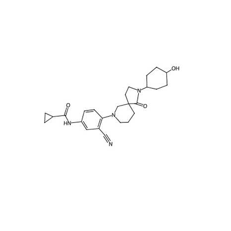 N#Cc1cc(NC(=O)C2CC2)ccc1N1CCCC2(CCN(C3CCC(O)CC3)C2=O)C1